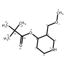 COCC1CNCCC1OC(=O)C(C)(C)C